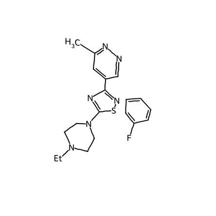 CCN1CCN(c2nc(-c3cnnc(C)c3)ns2)CC1.Fc1ccccc1